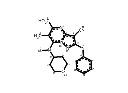 CCN(c1c(C)c(C(=O)O)nc2c(C#N)c(Nc3ccccc3)nn12)C1CCOCC1